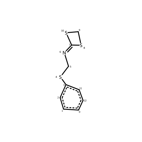 c1ccc(SCN=C2SCS2)cc1